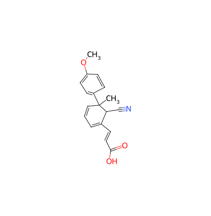 COc1ccc(C2(C)C=CC=C(C=CC(=O)O)C2C#N)cc1